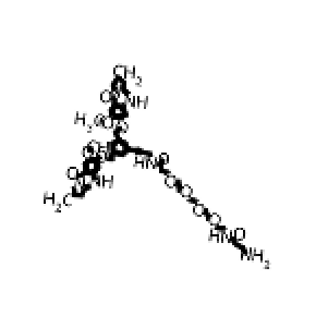 C=C1CC2=CNc3cc(OCc4cc(C#CCNC(=O)CCOCCOCCOCCOCCNC(=O)CCN)cc(COc5cc6c(cc5OC)C(=O)N5CC(=C)CC5=CN6)c4)c(OC)cc3C(=O)N2C1